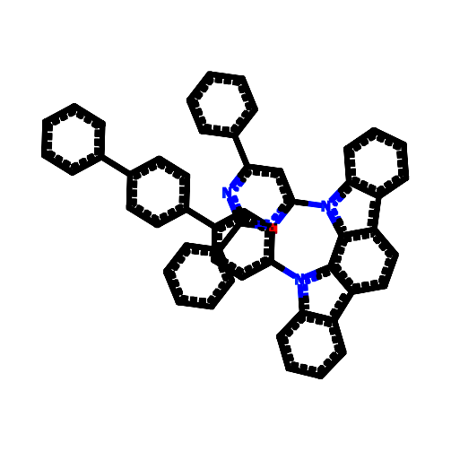 c1ccc(-c2ccc(-c3ccc(-n4c5ccccc5c5ccc6c7ccccc7n(-c7cc(-c8ccccc8)nc(-c8ccccc8)n7)c6c54)cc3)cc2)cc1